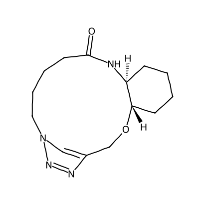 O=C1CCCCn2cc(nn2)CO[C@H]2CCCC[C@@H]2N1